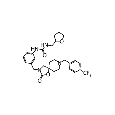 O=C(NCC1CCCO1)Nc1cccc(CN2CC3(CCN(Cc4ccc(C(F)(F)F)cc4)CC3)OC2=O)c1